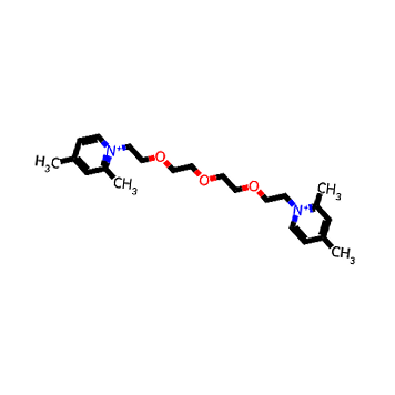 Cc1cc[n+](CCOCCOCCOCC[n+]2ccc(C)cc2C)c(C)c1